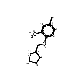 Cc1ccc(OCC2CCCO2)c(C(F)(F)F)c1